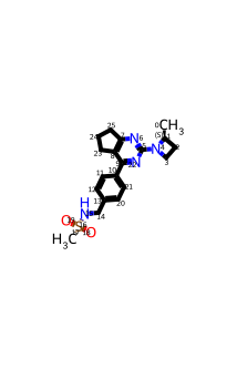 C[C@H]1CCN1c1nc2c(c(-c3ccc(CNS(C)(=O)=O)cc3)n1)CCC2